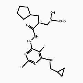 O=CN(O)C[C@H](CC1CCCC1)C(=O)NNc1nc(Cl)nc(NCC2CC2)c1F